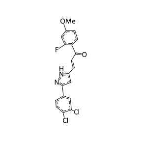 COc1ccc(C(=O)C=Cc2cc(-c3ccc(Cl)c(Cl)c3)n[nH]2)c(F)c1